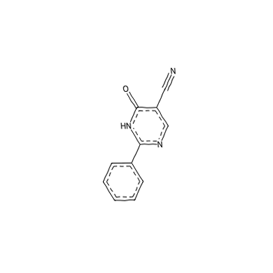 N#Cc1cnc(-c2ccccc2)[nH]c1=O